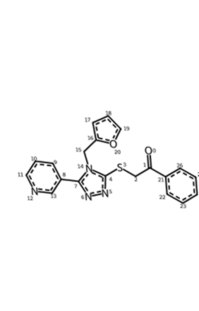 O=C(CSc1nnc(-c2cccnc2)n1Cc1ccco1)c1ccccc1